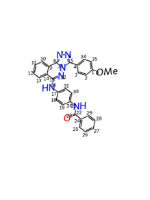 COc1ccc(-c2nnc3c4ccccc4c(Nc4ccc(NC(=O)c5ccccc5)cc4)nn23)cc1